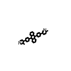 Cc1ccc(-c2ccc(-c3c4ccccc4c(-c4ccc(-c5ccncc5C)cc4)c4ccccc34)cc2)cn1